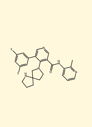 Cc1ncccc1NC(=O)c1cncc(-c2cc(F)cc(F)c2)c1N1CCC2(CCCN2)C1